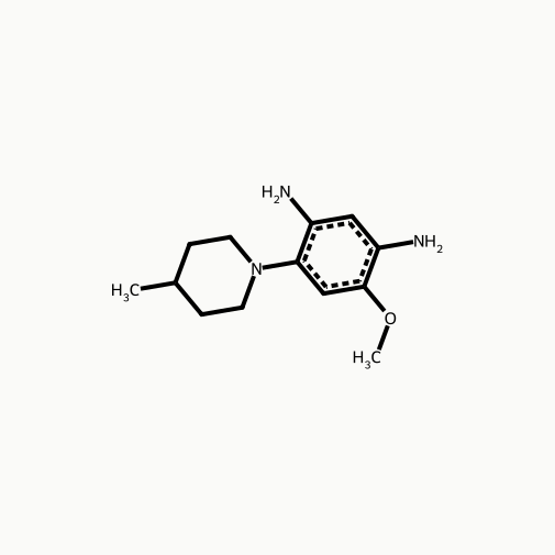 COc1cc(N2CCC(C)CC2)c(N)cc1N